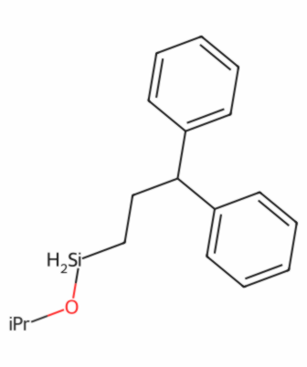 CC(C)O[SiH2]CCC(c1ccccc1)c1ccccc1